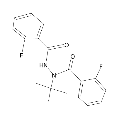 CC(C)(C)N(NC(=O)c1ccccc1F)C(=O)c1ccccc1F